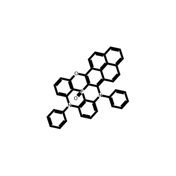 O=P12c3c4cccc3N(c3ccccc3)c3cccc(c31)N(c1ccccc1)c1c2c(c2ccc3cccc5ccc1c2c35)O4